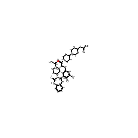 O=C(O)CC1CCN(C2CCN(C(=O)C(Cc3cc(Br)c(O)c(Br)c3)[C@H]3CC(N4CCc5ccccc5NC4=O)CCN3C(=O)O)CC2)CC1